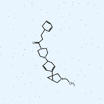 CCN1CC2CC2(C2=CCC(N3CCN(C(=O)CCC4C=CC=CC4)CC3)C=C2)C1